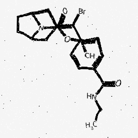 CCNC(=O)c1ccc(C(Br)=C2CC3CCC(C2)N3C(=O)OCC)cc1